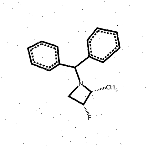 C[C@@H]1[C@H](F)CN1C(c1ccccc1)c1ccccc1